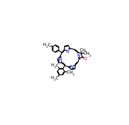 Cc1ccc(C2=C3C=CC(=N3)C=C3N=C(C=C4C=CC(=N4)C(c4c(C)cc(C)cc4C)=C4C=CC2=N4)C(=O)C3(C)C)cc1